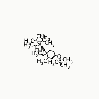 C=CC1(C#C[Si](C(C)C)(C(C)C)C(C)C)CCC(O[Si](C)(C)C)=CC1C